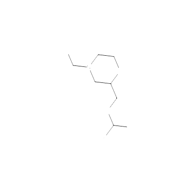 CCN1CCOC(COC(F)F)C1